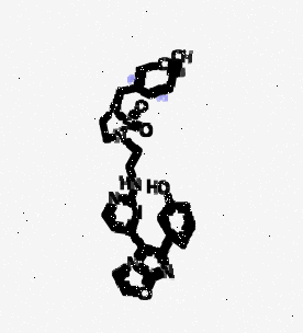 C#C/C=C\C(=C/C)CN1CCN(CCNc2nccc(-c3c(-c4cccc(O)c4)nc4occn34)n2)S1(=O)=O